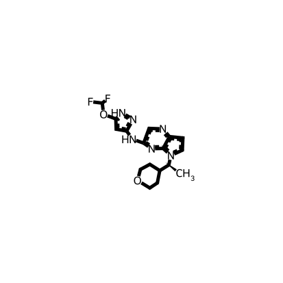 C[C@@H](C1CCOCC1)n1ccc2ncc(Nc3cc(OC(F)F)[nH]n3)nc21